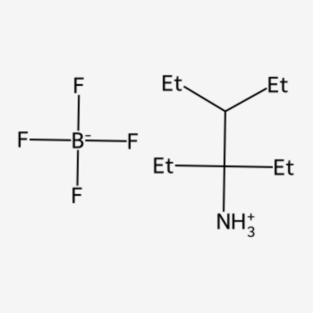 CCC(CC)C([NH3+])(CC)CC.F[B-](F)(F)F